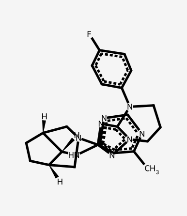 Cc1cc(N2C[C@H]3CC[C@@H](C2)[C@H]3Nc2nc3n(n2)CCCN3c2ccc(F)cc2)ncn1